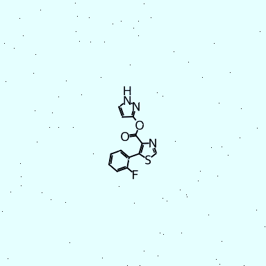 O=C(Oc1cc[nH]n1)c1ncsc1-c1ccccc1F